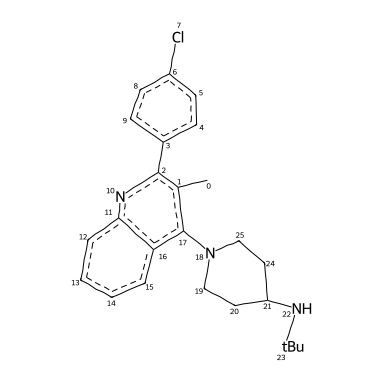 Cc1c(-c2ccc(Cl)cc2)nc2ccccc2c1N1CCC(NC(C)(C)C)CC1